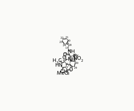 COC(=O)C1=C(C)NC(C)=C(C(=O)NC(C(=O)NCCc2ccccc2)C(C)C)C1c1cccc([N+](=O)[O-])c1